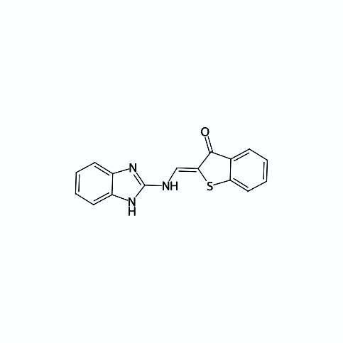 O=C1/C(=C/Nc2nc3ccccc3[nH]2)Sc2ccccc21